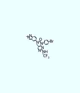 Cn1cc2cc(N3Cc4cnc(NCC(F)(F)F)nc4N(c4ccc(Br)cc4)C3=O)ccc2n1